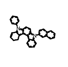 C1=Cc2c(c3c4c5ccccc5n(-c5ccc6ccccc6c5)c4ccc3n2-c2ccccc2)CC1